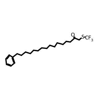 O=C(CCCCCCCCCCCCCCc1ccccc1)CSC(F)(F)F